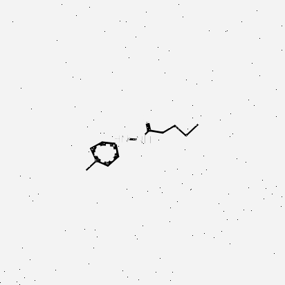 CCCCC(=O)NNc1ccc(C)cc1